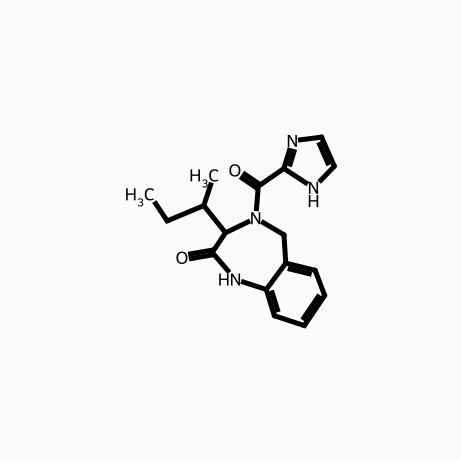 CCC(C)C1C(=O)Nc2ccccc2CN1C(=O)c1ncc[nH]1